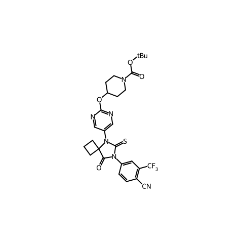 CC(C)(C)OC(=O)N1CCC(Oc2ncc(N3C(=S)N(c4ccc(C#N)c(C(F)(F)F)c4)C(=O)C34CCC4)cn2)CC1